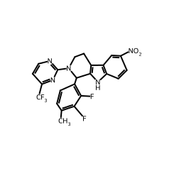 Cc1ccc(C2c3[nH]c4ccc([N+](=O)[O-])cc4c3CCN2c2nccc(C(F)(F)F)n2)c(F)c1F